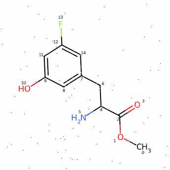 COC(=O)C(N)Cc1cc(O)cc(F)c1